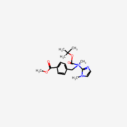 COC(=O)c1ccc(C[N+](C)(C(=O)OC(C)(C)C)c2nccn2C)cc1